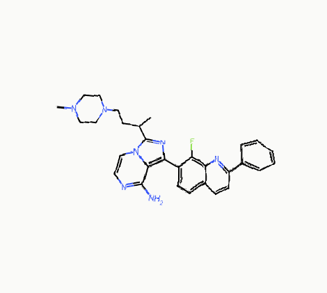 CC(CCN1CCN(C)CC1)c1nc(-c2ccc3ccc(-c4ccccc4)nc3c2F)c2c(N)nccn12